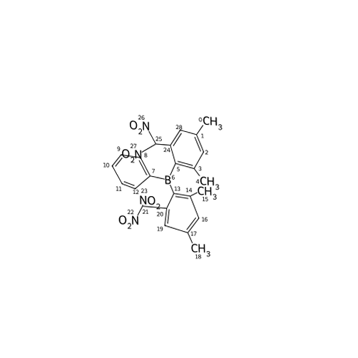 Cc1cc(C)c(B(c2ccccc2)c2c(C)cc(C)cc2C([N+](=O)[O-])[N+](=O)[O-])c(C([N+](=O)[O-])[N+](=O)[O-])c1